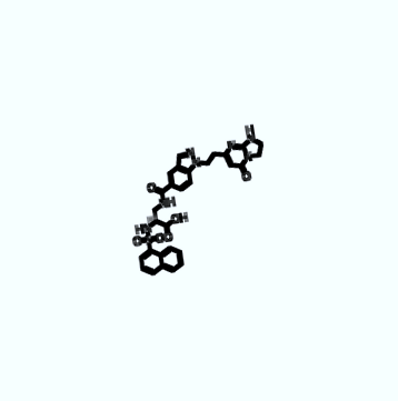 O=C(NC[C@H](NS(=O)(=O)c1cccc2ccccc12)C(=O)O)c1ccc2c(cnn2CCc2cc(=O)n3c(n2)NCC3)c1